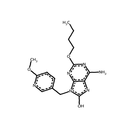 CCCCOc1nc(N)c2nc(O)n(Cc3ccc(OC)nc3)c2n1